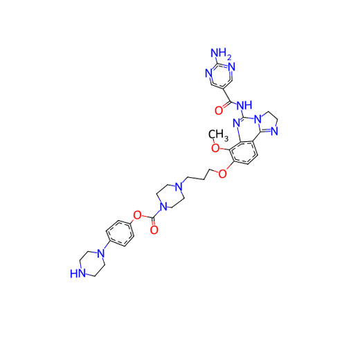 COc1c(OCCCN2CCN(C(=O)Oc3ccc(N4CCNCC4)cc3)CC2)ccc2c1N=C(NC(=O)c1cnc(N)nc1)N1CCN=C21